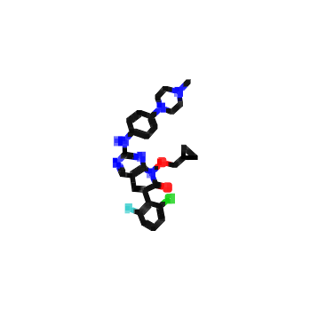 CN1CCN(c2ccc(Nc3ncc4cc(-c5c(F)cccc5Cl)c(=O)n(OCC5CC5)c4n3)cc2)CC1